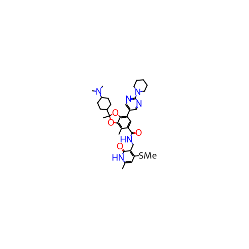 CSc1cc(C)[nH]c(=O)c1CNC(=O)c1cc(-c2cnc(N3CCCCC3)nc2)c2c(c1C)OC(C)(C1CCC(N(C)C)CC1)O2